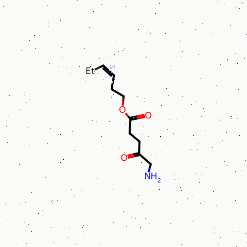 CC/C=C\CCOC(=O)CCC(=O)CN